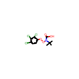 CC(C)(C)N(OOc1ccc(Cl)c(Cl)c1Cl)C(=O)O